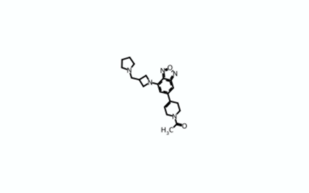 CC(=O)N1CC=C(c2cc(N3CC(CN4CCCC4)C3)c3nonc3c2)CC1